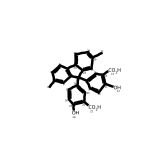 Cc1ccc2c(c1)C(c1ccc(O)c(C(=O)O)c1)(c1ccc(O)c(C(=O)O)c1)c1cc(C)ccc1-2